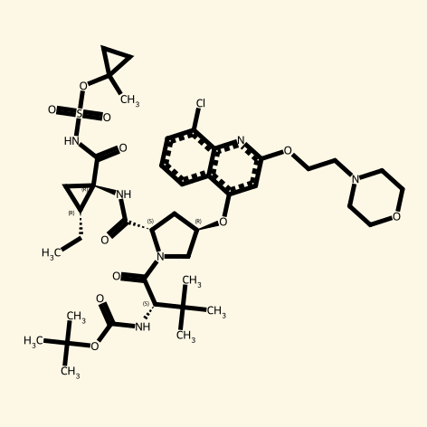 CC[C@@H]1C[C@]1(NC(=O)[C@@H]1C[C@@H](Oc2cc(OCCN3CCOCC3)nc3c(Cl)cccc23)CN1C(=O)[C@@H](NC(=O)OC(C)(C)C)C(C)(C)C)C(=O)NS(=O)(=O)OC1(C)CC1